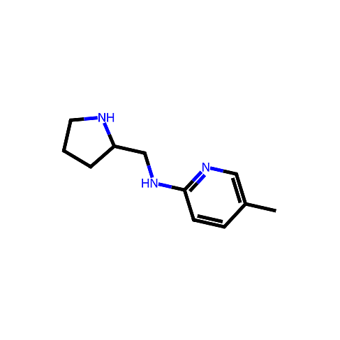 Cc1ccc(NCC2CCCN2)nc1